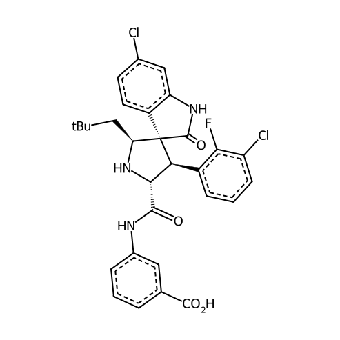 CC(C)(C)C[C@@H]1N[C@@H](C(=O)Nc2cccc(C(=O)O)c2)[C@H](c2cccc(Cl)c2F)[C@]12C(=O)Nc1cc(Cl)ccc12